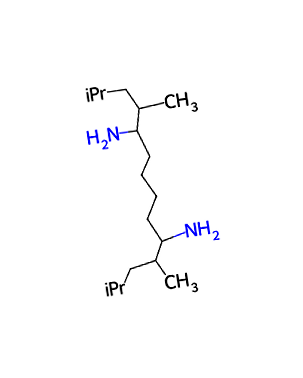 CC(C)CC(C)C(N)CCCCC(N)C(C)CC(C)C